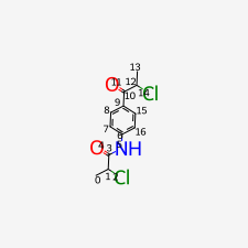 CC(Cl)C(=O)Nc1ccc(C(=O)C(C)Cl)cc1